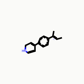 C/C=C(\C)c1ccc(C2=CCNC=C2)cc1